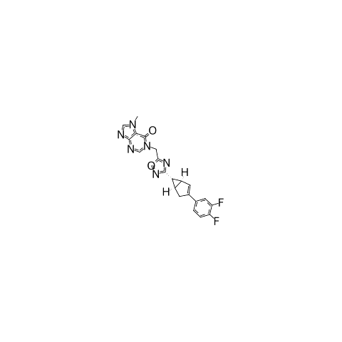 Cn1cnc2ncn(Cc3nc([C@@H]4[C@H]5C=C(c6ccc(F)c(F)c6)C[C@H]54)no3)c(=O)c21